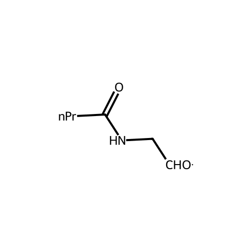 CCCC(=O)NC[C]=O